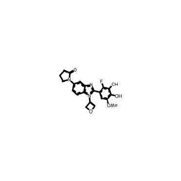 COc1cc(-c2nc3cc(N4CCCC4=O)ccc3n2C2COC2)c(F)c(O)c1O